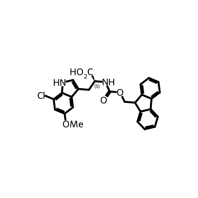 COc1cc(Cl)c2[nH]cc(C[C@H](NC(=O)OCC3c4ccccc4-c4ccccc43)C(=O)O)c2c1